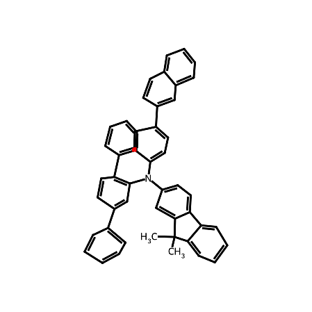 CC1(C)c2ccccc2-c2ccc(N(c3ccc(-c4ccc5ccccc5c4)cc3)c3cc(-c4ccccc4)ccc3-c3ccccc3)cc21